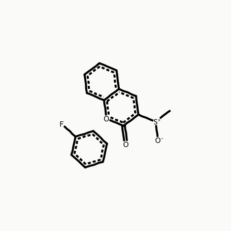 C[S+]([O-])c1cc2ccccc2oc1=O.Fc1ccccc1